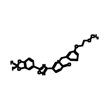 COCCOc1cccc(Cn2cc(-c3noc(-c4ccc5c(c4)OC(F)(F)O5)n3)ccc2=O)c1